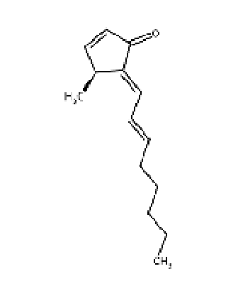 CCCCC/C=C/C=C1/C(=O)C=C[C@@H]1C